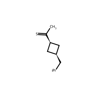 CC(=S)[C@H]1C[C@@H](CC(C)C)C1